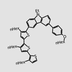 CCCCCCOc1ccc(-c2ccc3c(c2)c2cc(-c4sc(-c5sc(-c6sccc6CCCCCC)cc5CCCCCC)cc4CCCCCC)ccc2n3CC)cc1